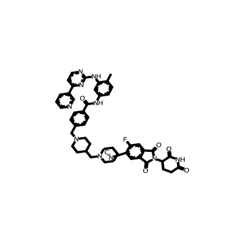 Cc1ccc(NC(=O)c2ccc(CN3CCC(CN4CC5CCC4CN5c4cc5c(cc4F)C(=O)N(C4CCC(=O)NC4=O)C5=O)CC3)cc2)cc1Nc1nccc(-c2cccnc2)n1